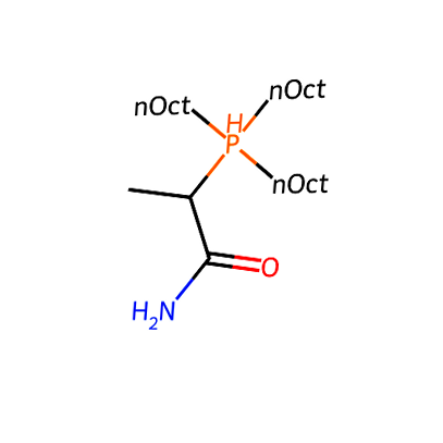 CCCCCCCC[PH](CCCCCCCC)(CCCCCCCC)C(C)C(N)=O